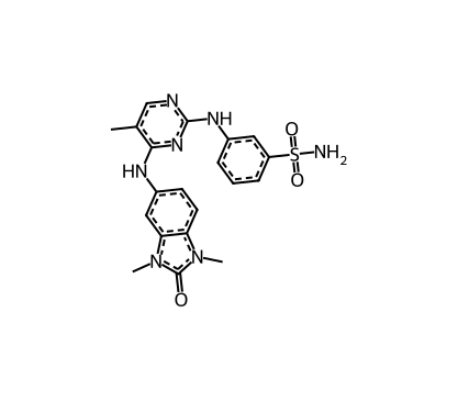 Cc1cnc(Nc2cccc(S(N)(=O)=O)c2)nc1Nc1ccc2c(c1)n(C)c(=O)n2C